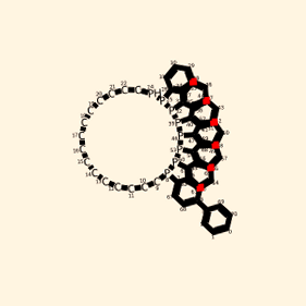 c1ccc(-c2ccc(P3CCCCCCCCCCCCCCCPP(c4ccccc4)P(c4ccccc4)P(c4ccccc4)P(c4ccccc4)P(c4ccccc4)P3c3ccccc3)cc2)cc1